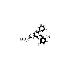 CCOC(=O)C(C)Oc1cnc(N2CCCCC2)n(Cc2cc(F)ccc2C#N)c1=O